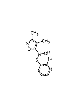 Cc1noc(N(O)Sc2cccnc2Cl)c1C